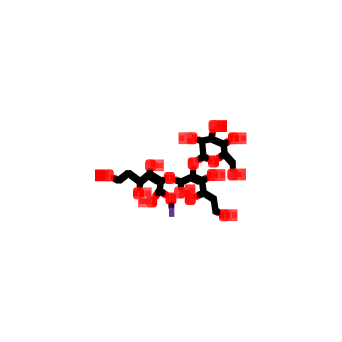 OCCC(O)/C(O)=C(/OC(O)/C(OC1OC(CO)C(O)C(O)C1O)=C(/O)C(O)CCO)C(O)OI